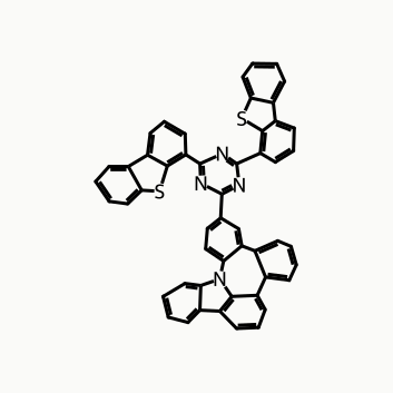 c1ccc2c(c1)-c1cc(-c3nc(-c4cccc5c4sc4ccccc45)nc(-c4cccc5c4sc4ccccc45)n3)ccc1-n1c3ccccc3c3cccc-2c31